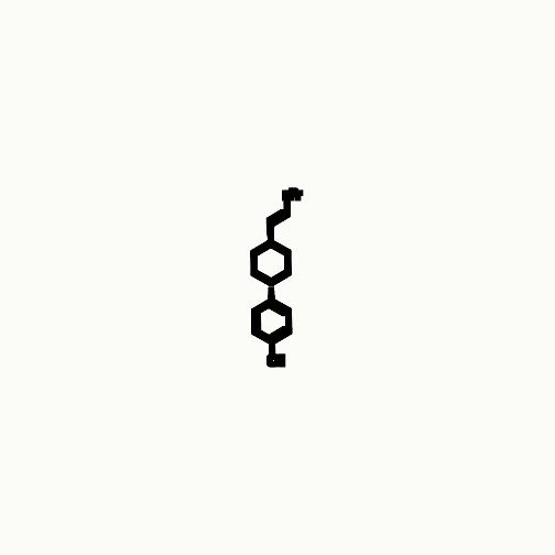 CCC/C=C/[C@H]1CC[C@H](c2ccc(C#N)cc2)CC1